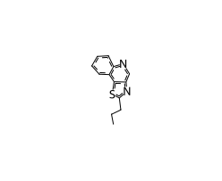 CCCc1nc2cnc3ccccc3c2s1